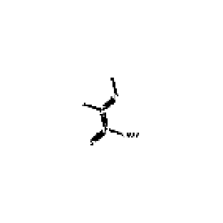 COP(=S)=P(C)=PC